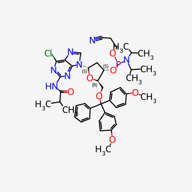 COc1ccc(C(OC[C@H]2O[C@H](n3cnc4c(Cl)nc(NC(=O)C(C)C)nc43)C[C@@H]2OP(OCCC#N)N(C(C)C)C(C)C)(c2ccccc2)c2ccc(OC)cc2)cc1